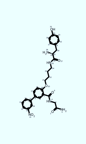 NC(=O)CNC(=O)c1cc(-c2cccc([N+](=O)[O-])c2)ccc1OCCCCNC(=O)[C@@H](N)Cc1ccc(O)cc1